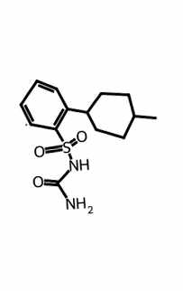 CC1CCC(c2ccc[c]c2S(=O)(=O)NC(N)=O)CC1